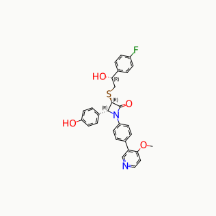 COc1ccncc1-c1ccc(N2C(=O)[C@H](SC[C@H](O)c3ccc(F)cc3)[C@H]2c2ccc(O)cc2)cc1